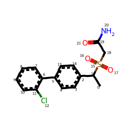 CC(c1ccc(-c2ccccc2Cl)cc1)S(=O)(=O)CC(N)=O